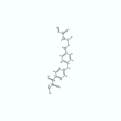 C=CC(=O)OC(C)COc1ccc(Cc2ccc(C(=C)C(=O)OC)cc2)cc1